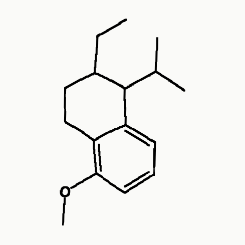 CCC1CCc2c(OC)cccc2C1C(C)C